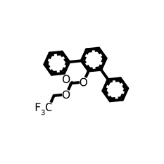 O=C(OCC(F)(F)F)Oc1c(-c2ccccc2)cccc1-c1ccccc1